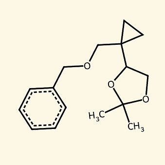 CC1(C)OCC(C2(COCc3ccccc3)CC2)O1